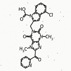 Cn1c(C(=O)c2ccccn2)nc2c1c(=O)n(Cc1cc3c(Cl)cccc3n1C(=O)O)c(=O)n2C